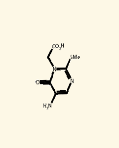 CSc1ncc(N)c(=O)n1CC(=O)O